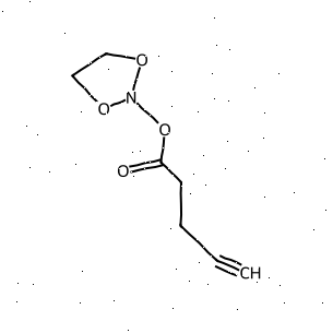 C#CCCC(=O)ON1OCCO1